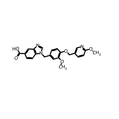 COc1ccc(COc2ccc(Cn3cnc4cc(C(=O)O)ccc43)cc2OC)cn1